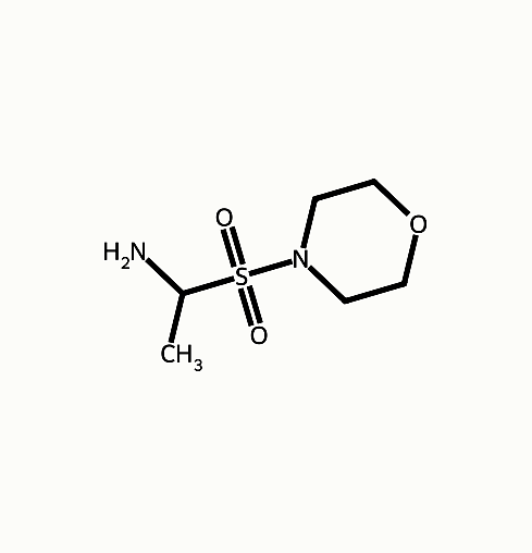 CC(N)S(=O)(=O)N1CCOCC1